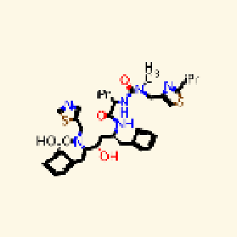 CC(C)c1nc(CN(C)C(=O)NC(C(=O)N[C@@H](Cc2ccccc2)C[C@H](O)C(Cc2ccccc2)N(Cc2cncs2)C(=O)O)C(C)C)cs1